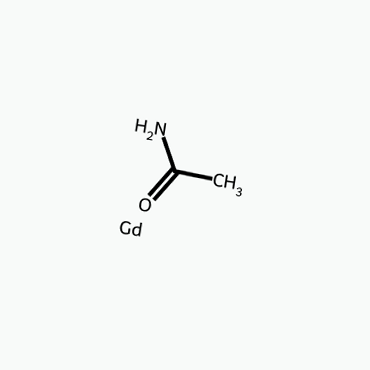 CC(N)=O.[Gd]